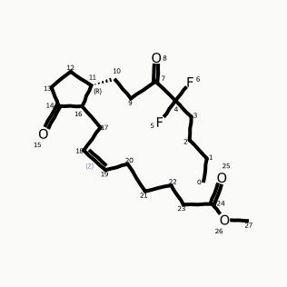 CCCCC(F)(F)C(=O)CC[C@H]1CCC(=O)C1C/C=C\CCCCC(=O)OC